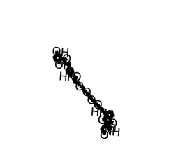 O=C1CCC(N2C(=O)c3cccc(NCCOCCOCCOCCOCCC(=O)Nc4ccc(/C=C/C(=O)c5cc(O)ccc5O)cc4)c3C2=O)C(=O)N1